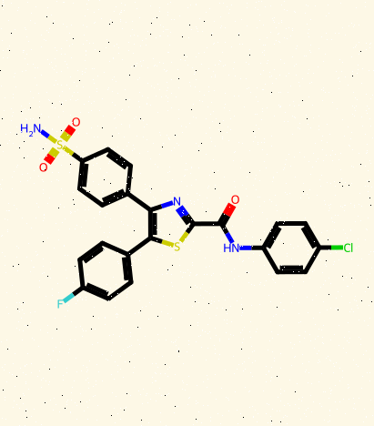 NS(=O)(=O)c1ccc(-c2nc(C(=O)Nc3ccc(Cl)cc3)sc2-c2ccc(F)cc2)cc1